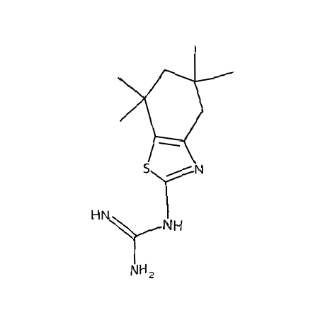 CC1(C)Cc2nc(NC(=N)N)sc2C(C)(C)C1